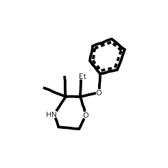 CCC1(Oc2ccccc2)OCCNC1(C)C